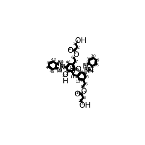 O=C(CCO)OCCc1cc(Cc2cc(CCOC(=O)CCO)cc(-n3nc4ccccc4n3)c2O)c(O)c(-n2nc3ccccc3n2)c1